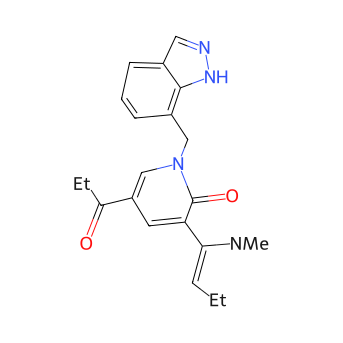 CC/C=C(\NC)c1cc(C(=O)CC)cn(Cc2cccc3cn[nH]c23)c1=O